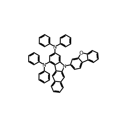 c1ccc(N(c2ccccc2)c2cc(N(c3ccccc3)c3ccccc3)c3c4cc5ccccc5cc4n(-c4ccc5c(c4)oc4ccccc45)c3c2)cc1